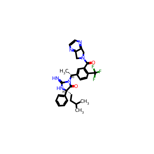 CC(C)CC[C@]1(c2ccccc2)NC(=N)N([C@H](C)c2ccc(C(F)(F)F)c(C(=O)N3Cc4nccnc4C3)c2)C1=O